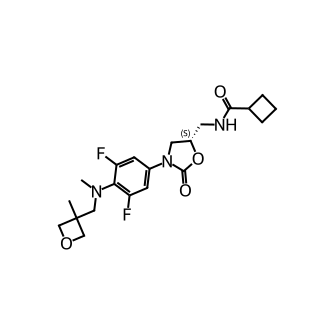 CN(CC1(C)COC1)c1c(F)cc(N2C[C@H](CNC(=O)C3CCC3)OC2=O)cc1F